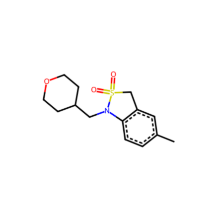 Cc1ccc2c(c1)CS(=O)(=O)N2CC1CCOCC1